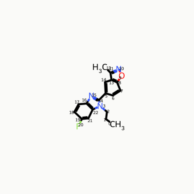 CCCn1c(-c2ccc3onc(C)c3c2)nc2ccc(F)cc21